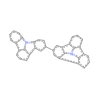 c1ccc2c(c1)c1cccc3c4cc(-c5cc6c7cccc8c9cccc%10c(c5)c6n(c87)c9%10)ccc4n2c13